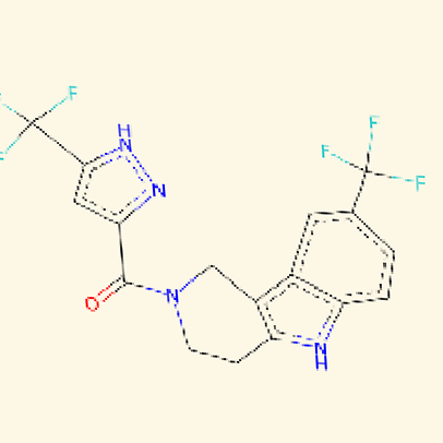 O=C(c1cc(C(F)(F)F)[nH]n1)N1CCc2[nH]c3ccc(C(F)(F)F)cc3c2C1